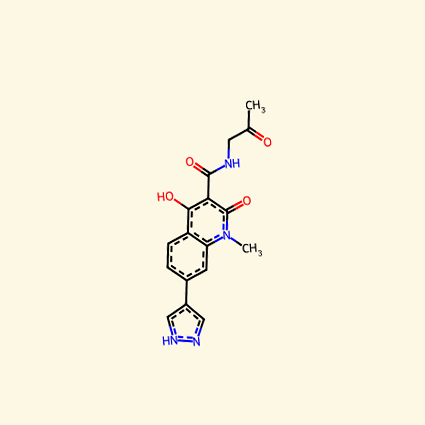 CC(=O)CNC(=O)c1c(O)c2ccc(-c3cn[nH]c3)cc2n(C)c1=O